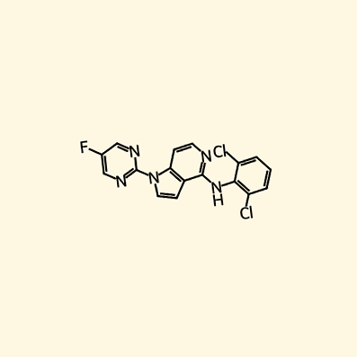 Fc1cnc(-n2ccc3c(Nc4c(Cl)cccc4Cl)nccc32)nc1